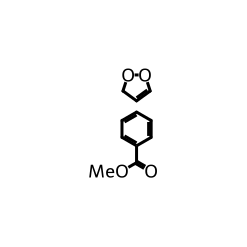 C1=COOC1.COC(=O)c1ccccc1